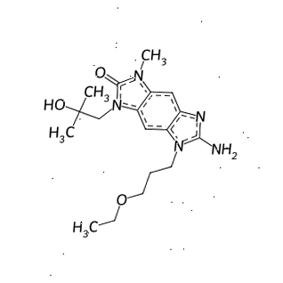 CCOCCCn1c(N)nc2cc3c(cc21)n(CC(C)(C)O)c(=O)n3C